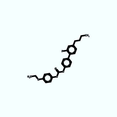 CCCCc1ccc(-c2ccc(OC(=O)Oc3ccc(OCC)cc3)cc2)c(F)c1